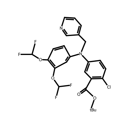 CC(C)(C)OC(=O)c1cc(N(Cc2cccnc2)c2ccc(OC(F)F)c(OC(F)F)c2)ccc1Cl